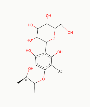 CC(=O)c1c(OC(C)[C@@H](C)O)cc(O)c(C2OC(CO)C(O)C(O)C2O)c1O